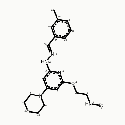 CCNCCOc1cc(N2CCOCC2)cc(N/N=C/c2cccc(C)c2)n1